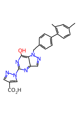 Cc1ccc(-c2ccc(Cn3ncc4nc(-n5cc(C(=O)O)cn5)nc(O)c43)cc2)c(C)c1